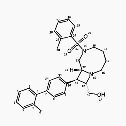 Cc1ccccc1-c1ccc([C@@H]2[C@@H](CO)N3CCCCN(S(=O)(=O)c4ccccc4C)C[C@@H]23)cc1